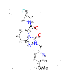 COc1ccc(Cn2nc3n(c2=O)[C@H](C(=O)N2CC(F)C2)CCC3)nc1